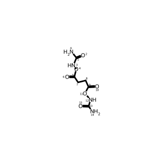 NC(=O)NOC(=O)CCC(=O)ONC(N)=O